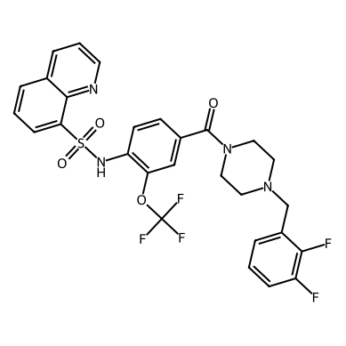 O=C(c1ccc(NS(=O)(=O)c2cccc3cccnc23)c(OC(F)(F)F)c1)N1CCN(Cc2cccc(F)c2F)CC1